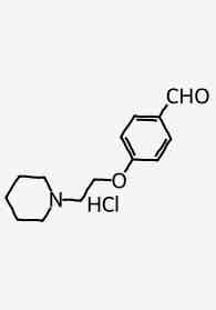 Cl.O=Cc1ccc(OCCN2CCCCC2)cc1